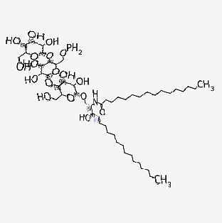 CCCCCCCCCCCCC/C=C/[C@@H](O)[C@H](CO[C@@H]1OC(CO)[C@@H](O[C@@H]2OC(COP)[C@H](O[C@H]3OC(CO)[C@H](O)[C@H](O)C3O)[C@H](O)C2O)[C@H](O)C1O)NC(=O)CCCCCCCCCCCCCCC